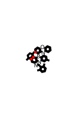 Cc1cc2c3c(c1)-n1c(-c4c(C)cccc4C)nc4cc5c(c(c41)B3c1cccc3c1N2c1ccccc1O3)C1(C)CCC5(C)CC1